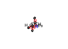 CCC1=C[C@@H](Oc2nn(C(C)C)c(C)c2Cc2ccc(OCc3ccccc3)cc2)[C@H](OCc2ccccc2)[C@@H](OCc2ccccc2)[C@@H]1C